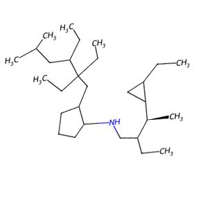 CCC1CC1[C@@H](C)C(CC)CNC1CCCC1CC(CC)(CC)C(CC)CC(C)C